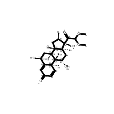 COC(OC)C(=O)[C@@]1(O)[C@H](C)C[C@H]2[C@@H]3C[C@H](F)C4=CC(=O)C=C[C@]4(C)[C@@]3(F)[C@@H](O)C[C@@]21C